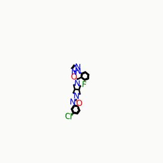 O=C(c1c(F)cccc1-n1nccn1)N1CC2CN(c3nc4cc(Cl)ccc4o3)CC2C1